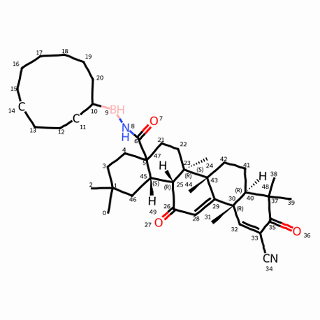 CC1(C)CCC2(C(=O)NBC3CCCCCCCCCC3)CC[C@]3(C)[C@H](C(=O)C=C4[C@@]5(C)C=C(C#N)C(=O)C(C)(C)[C@@H]5CC[C@]43C)[C@@H]2C1